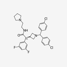 O=C(NCCN1CCCC1)[C@H](c1cc(F)cc(F)c1)C1CN(C(c2ccc(Cl)cc2)c2ccc(Cl)cc2)C1